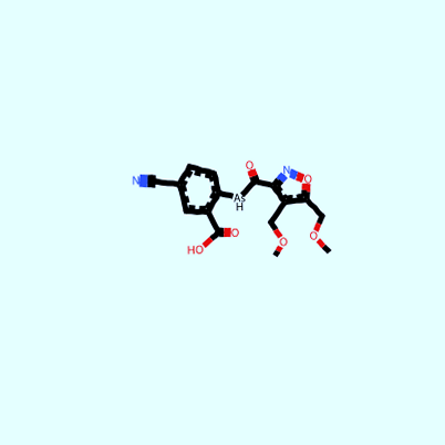 COCc1onc(C(=O)[AsH]c2ccc(C#N)cc2C(=O)O)c1COC